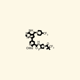 COc1ncc(-c2cc(CN3CCC(C(F)(F)F)CC3)c3c(N)ncnn23)cc1C(=O)N[C@@H]1CN(C(=O)C(C)(C)C(F)(F)F)C[C@@H]1F